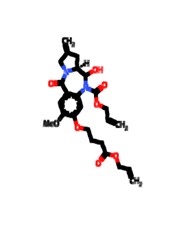 C=CCOC(=O)CCCOc1cc2c(cc1OC)C(=O)N1CC(=C)C[C@H]1C(O)N2C(=O)OCC=C